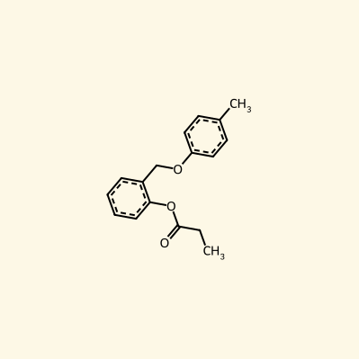 CCC(=O)Oc1ccccc1COc1ccc(C)cc1